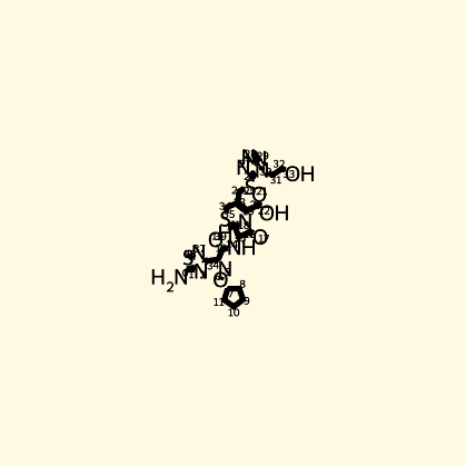 Nc1nc(C(=NOC2CCCC2)C(=O)NC2C(=O)N3C(C(=O)O)=C(CSc4nnnn4CCO)CS[C@@H]23)ns1